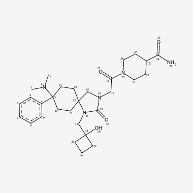 CN(C)C1(c2ccccc2)CCC2(CC1)CN(CC(=O)N1CCC(C(N)=O)CC1)C(=O)N2CC1(O)CCC1